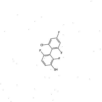 Fc1cc(F)c(-c2c(F)ccc(S)c2F)c(Cl)c1